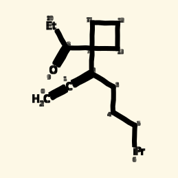 C=C=C(CCCC(C)C)C1(C(=O)CC)CCC1